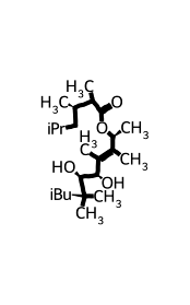 CC[C@H](C)C(C)(C)[C@@H](O)[C@@H](O)/C(C)=C(\C)[C@H](C)OC(=O)C(C)[C@@H](C)CC(C)C